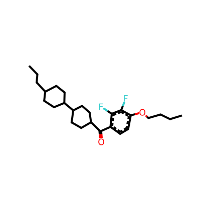 CCCCOc1ccc(C(=O)C2CCC(C3CCC(CCC)CC3)CC2)c(F)c1F